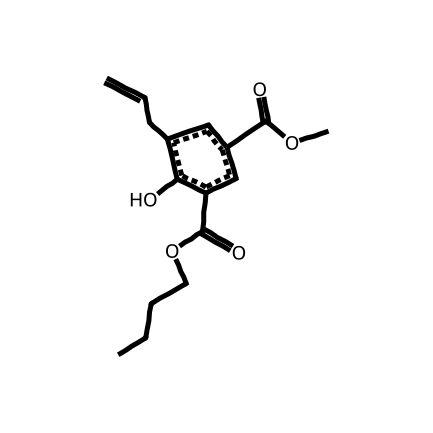 C=CCc1cc(C(=O)OC)cc(C(=O)OCCCC)c1O